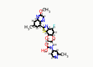 COc1cnc2c(-c3nc4c(F)cc5c(c4s3)OC[C@@H](CN(C(=O)O)c3ccnc(C)c3)O5)cc(C)cc2n1